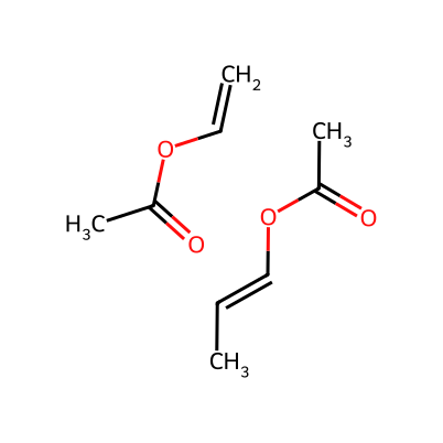 C=COC(C)=O.CC=COC(C)=O